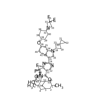 CC1CC2CC(C)C(NC(=O)c3cnc(-c4cn(C5CC6(CC6)C5)c5cc(O[C@H]6CC[C@H](N7CC(F)(F)C7)CC6)ccc45)nc3C(F)(F)F)(C(=O)O)C(C1)C2